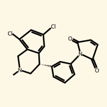 CN1Cc2c(Cl)cc(Cl)cc2[C@H](c2cccc(N3C(=O)C=CC3=O)c2)C1